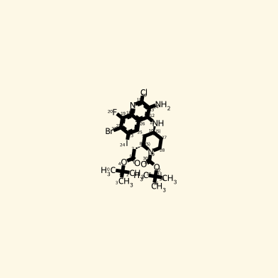 CC(C)(C)OC(=O)C[C@@H]1C[C@@H](Nc2c(N)c(Cl)nc3c(F)c(Br)c(I)cc23)CCN1C(=O)OC(C)(C)C